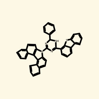 c1ccc(C2N=C(n3c4ccc5ccccc5c4c4c5ccccc5ccc43)N=C(c3cccc4c3sc3ccccc34)N2)cc1